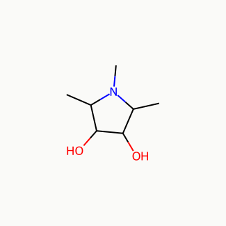 CC1C(O)C(O)C(C)N1C